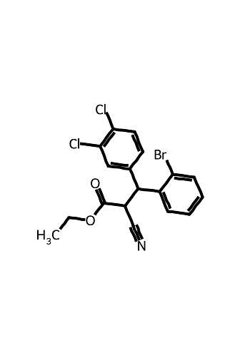 CCOC(=O)C(C#N)C(c1ccc(Cl)c(Cl)c1)c1ccccc1Br